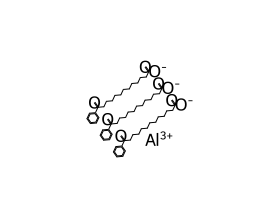 O=C([O-])CCCCCCCCCCCC(=O)c1ccccc1.O=C([O-])CCCCCCCCCCCC(=O)c1ccccc1.O=C([O-])CCCCCCCCCCCC(=O)c1ccccc1.[Al+3]